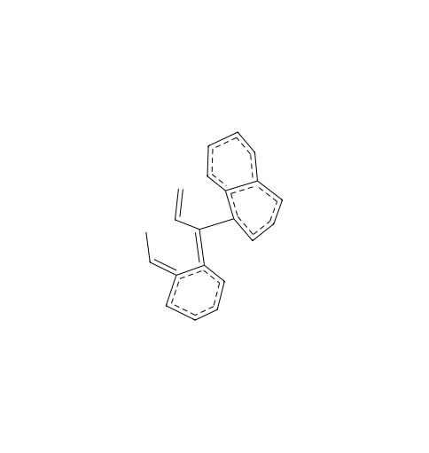 C=C/C(c1cccc2ccccc12)=c1/cccc/c1=C/C